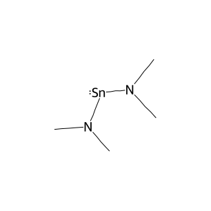 C[N](C)[Sn][N](C)C